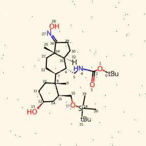 CC(C)(C)OC(=O)NC[C@@H]1[C@@H]([C@@]2(C)CC[C@H](O)C[C@@H]2CO[Si](C)(C)C(C)(C)C)CC[C@]2(C)/C(=N/O)CC[C@@H]12